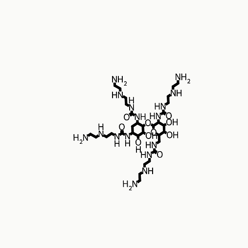 NCCNCCNC(=O)NCC1OC(OC2C(NC(=O)NCCNCCN)CC(NC(=O)NCCNCCN)C(O)C2O)C(NC(=O)NCCNCCN)C(O)C1O